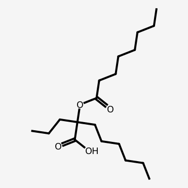 CCCCCCCC(=O)OC(CCC)(CCCCCC)C(=O)O